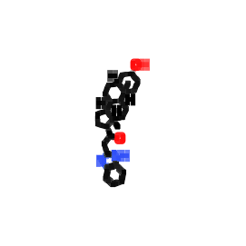 C[C@]12CC[C@@H](O)C[C@H]1CC[C@@H]1[C@@H]2CC[C@]2(C)[C@@H](C(=O)Cc3nc4ccccc4[nH]3)CC[C@@H]12